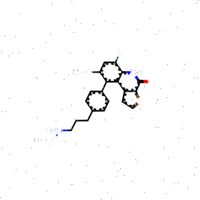 COc1cc(Br)c2[nH]c(=O)c3sccc3c2c1-c1ccc(CCCNC(=O)O)cc1